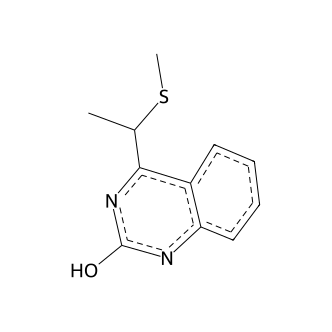 CSC(C)c1nc(O)nc2ccccc12